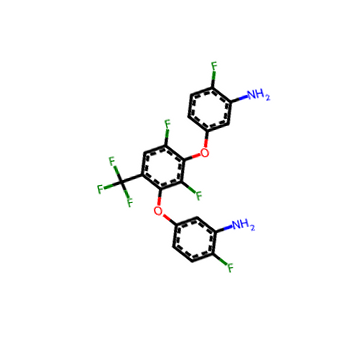 Nc1cc(Oc2c(F)cc(C(F)(F)F)c(Oc3ccc(F)c(N)c3)c2F)ccc1F